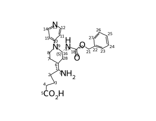 NC(CCCC(=O)O)C1CCN(c2ccncc2)[C@H](NC(=O)OCc2ccccc2)C1